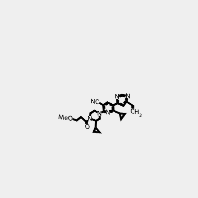 C=Cc1cc(-c2cc(C#N)c(N3CCN(C(=O)CCOC)C(C4CC4)C3)nc2C2CC2)ncn1